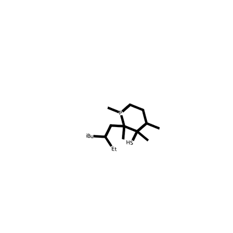 CCC(C)C(CC)CC1(C)P(C)CCC(C)C1(C)S